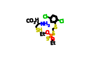 CCOP(=S)(OCC)SCSc1cc(Cl)ccc1Cl.N[C@@H](CS)C(=O)O